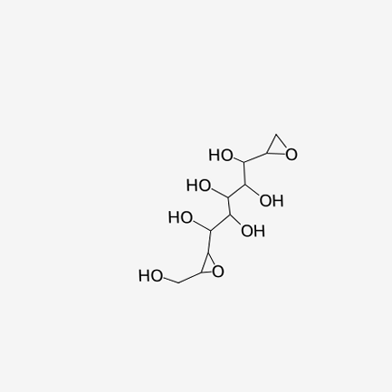 OCC1OC1C(O)C(O)C(O)C(O)C(O)C1CO1